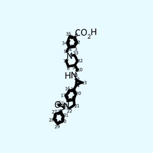 O=C(O)c1ccc(CN2CCC(CNC3CC3c3ccc4c(c3)CCN4[S+]([O-])c3ccccc3)CC2)cc1